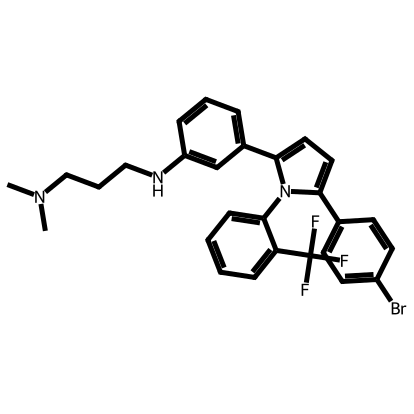 CN(C)CCCNc1cccc(-c2ccc(-c3ccc(Br)cc3)n2-c2ccccc2C(F)(F)F)c1